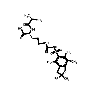 Cc1c(C)c(S(=O)(=O)NC(=N)NCCC[C@@H](NC(=O)[C@H](C)N)C(=O)O)c(C)c2c1OC(C)(C)C2